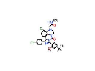 CCOc1cc(C(C)(C)C#N)ccc1C1=N[C@@H](C2C=CC(Cl)=CC2)[C@@H](c2ccc(Cl)cc2)N1C(=O)N1CCN(CC(=O)NC(C)(C)C)CC1